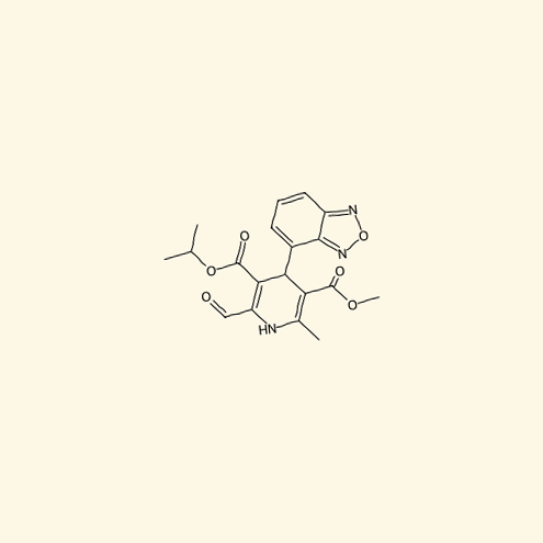 COC(=O)C1=C(C)NC(C=O)=C(C(=O)OC(C)C)C1c1cccc2nonc12